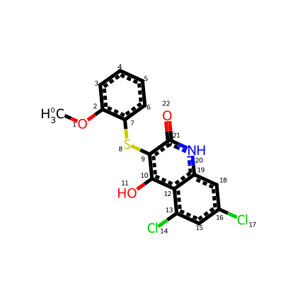 COc1ccccc1Sc1c(O)c2c(Cl)cc(Cl)cc2[nH]c1=O